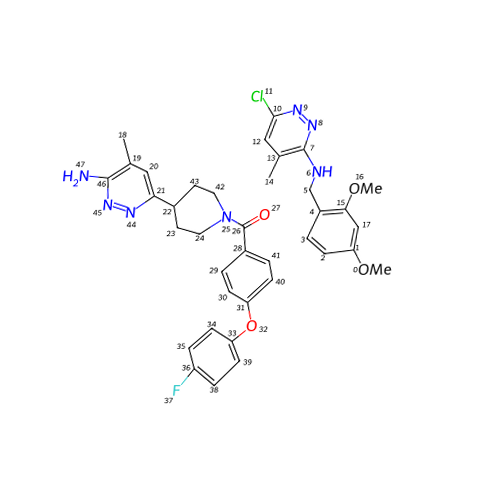 COc1ccc(CNc2nnc(Cl)cc2C)c(OC)c1.Cc1cc(C2CCN(C(=O)c3ccc(Oc4ccc(F)cc4)cc3)CC2)nnc1N